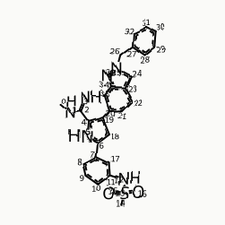 CNC(=N)c1[nH]c(-c2cccc(NS(C)(=O)=O)c2)cc1-c1ccc2cn(Cc3ccccc3)nc2c1